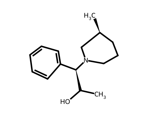 CC(O)[C@@H](c1ccccc1)N1CCC[C@H](C)C1